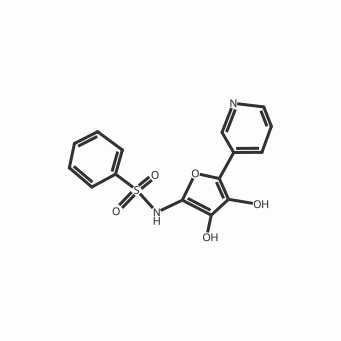 O=S(=O)(Nc1oc(-c2cccnc2)c(O)c1O)c1ccccc1